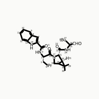 CC(C)C[C@H](NC(=O)c1cc2ccccc2[nH]1)C(=O)N1CC2[C@@H]([C@H]1C(=O)NC(C=O)C(C)(C)C)C2(C)C